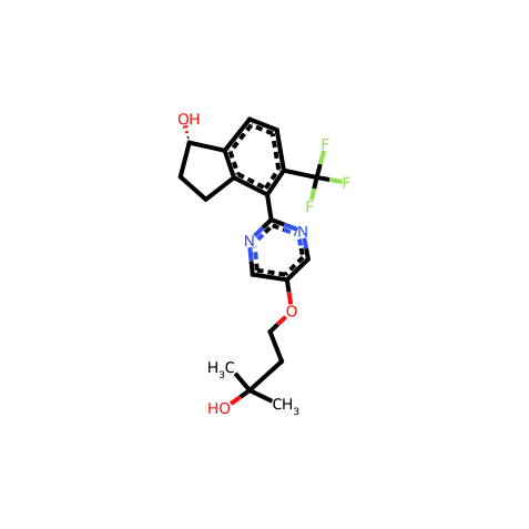 CC(C)(O)CCOc1cnc(-c2c(C(F)(F)F)ccc3c2CC[C@@H]3O)nc1